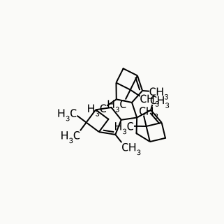 CC1=C2CC(CC1C1(C3C(C)=C4CC(C3C)C4(C)C)CC3CC(=C1C)C3(C)C)C2(C)C